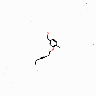 CCC#CCCOc1cc(C=O)ccc1C